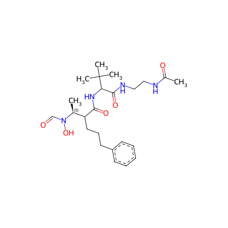 CC(=O)NCCNC(=O)C(NC(=O)C(CCCc1ccccc1)[C@H](C)N(O)C=O)C(C)(C)C